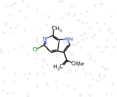 C=C(OC)c1c[nH]c2c(C)nc(Cl)cc12